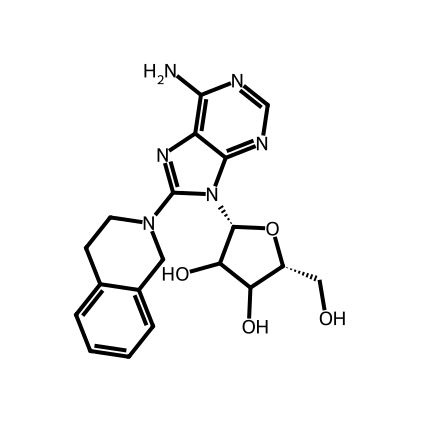 Nc1ncnc2c1nc(N1CCc3ccccc3C1)n2[C@@H]1O[C@H](CO)C(O)C1O